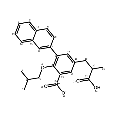 CC(C)COc1c(-c2ccc3ccccc3c2)cc(CC(C)C(=O)O)cc1[N+](=O)[O-]